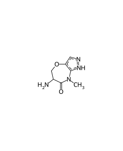 CN1C(=O)C(N)COc2cn[nH]c21